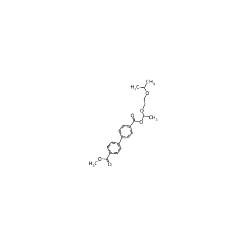 COC(=O)c1ccc(-c2ccc(C(=O)OC(C)OCCOC(C)C)cc2)cc1